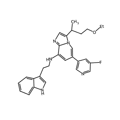 CCOCCC(C)c1cnc2c(NCCc3c[nH]c4ccccc34)cc(-c3cncc(F)c3)cn12